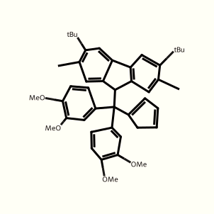 COc1ccc(C(C2=CC=CC2)(c2ccc(OC)c(OC)c2)C2c3cc(C)c(C(C)(C)C)cc3-c3cc(C(C)(C)C)c(C)cc32)cc1OC